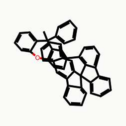 CC1(c2ccccc2)c2ccccc2Oc2ccc(-c3cccc4c3C3(c5ccccc5-c5cc6ccccc6cc53)c3ccccc3-4)cc21